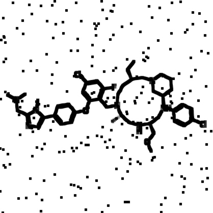 CC[C@@H]1CCN(Cc2c(F)cc(Cl)cc2Oc2ccc(-c3cnc(CN(C)C)n3C)cc2)[C@@H](C)CN[C@H](COC)CN[C@@]2(Cc3ccc(Cl)cc3)CCCN(C1)C2